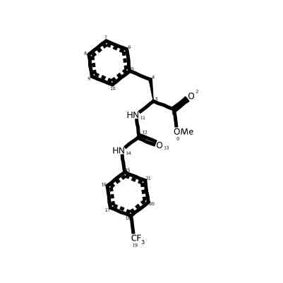 COC(=O)[C@H](Cc1ccccc1)NC(=O)Nc1ccc(C(F)(F)F)cc1